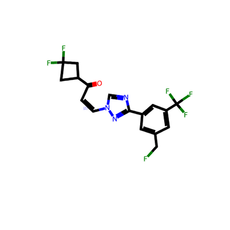 O=C(/C=C\n1cnc(-c2cc(CF)cc(C(F)(F)F)c2)n1)C1CC(F)(F)C1